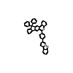 c1ccc(C2(c3ccccc3)c3ccccc3-c3cc4c(-c5ccc(-c6ccc7c8ccccc8nn7c6)cc5)nc5ccccc5c4cc32)cc1